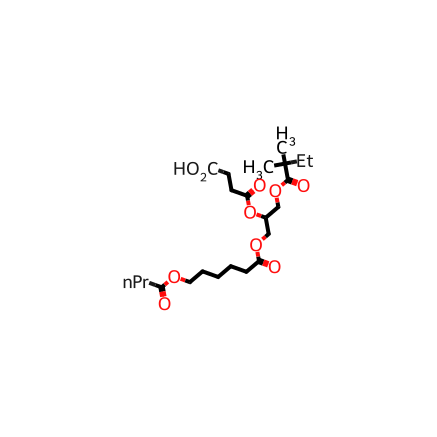 CCCC(=O)OCCCCCC(=O)OCC(COC(=O)C(C)(C)CC)OC(=O)CCC(=O)O